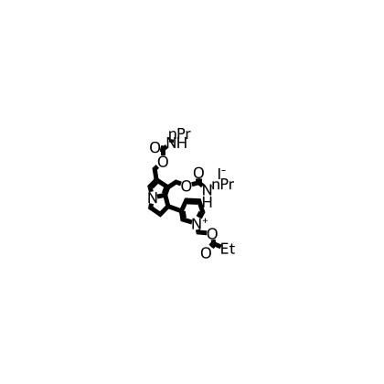 CCCNC(=O)OCc1cn2c(c1COC(=O)NCCC)C(c1ccc[n+](COC(=O)CC)c1)CC2.[I-]